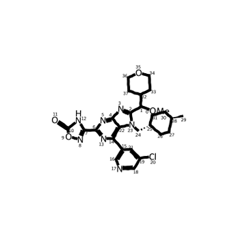 COC(c1nc2nc(-c3noc(=O)[nH]3)nc(-c3cncc(Cl)c3)c2n1C[C@H]1CC[C@H](C)CC1)C1CCOCC1